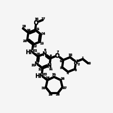 CCN1CCCC(Oc2nc(Nc3ccc(OC)c(C)c3)nc(NC3CCCCCC3)n2)C1